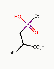 CCCC(CP(=O)(O)CC)C(=O)O